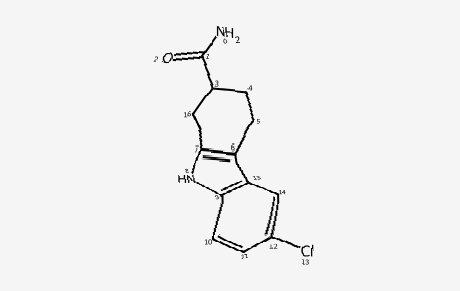 NC(=O)C1CCc2c([nH]c3ccc(Cl)cc23)C1